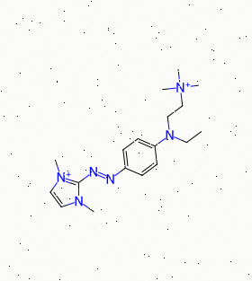 CCN(CC[N+](C)(C)C)c1ccc(N=Nc2n(C)cc[n+]2C)cc1